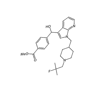 COC(=O)c1ccc(C(O)c2cn(CC3CCN(CC(C)(C)F)CC3)c3ncccc23)cc1